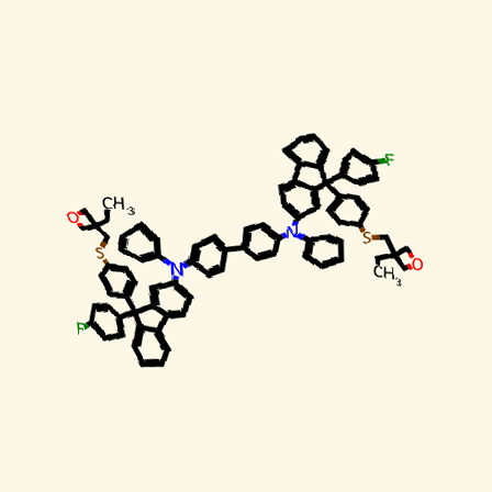 CCC1(CSc2ccc(C3(c4ccc(F)cc4)c4ccccc4-c4ccc(N(c5ccccc5)c5ccc(-c6ccc(N(c7ccccc7)c7ccc8c(c7)C(C7=CCC(SCC9(CC)COC9)C=C7)(c7ccc(F)cc7)c7ccccc7-8)cc6)cc5)cc43)cc2)COC1